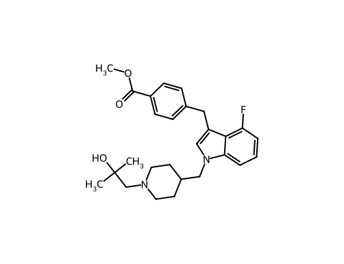 COC(=O)c1ccc(Cc2cn(CC3CCN(CC(C)(C)O)CC3)c3cccc(F)c23)cc1